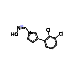 O/N=C\n1ccc(-c2cccc(Cl)c2Cl)c1